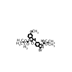 COc1ccc2c(c1)[C@]1(C[C@H]1c1ccc3c(Br)nn(C(=O)OC(C)(C)C)c3c1)C(=O)N2C(=O)OC(C)(C)C